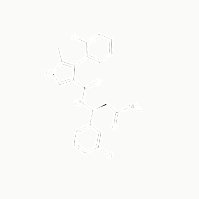 Cc1[nH]cc(C(=O)N[C@@H](CC(N)=O)c2cccc(Cl)c2)c1-c1ccccc1F